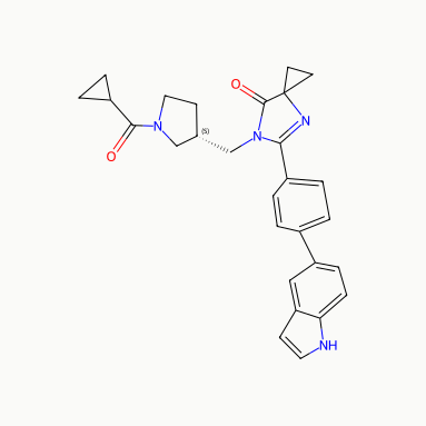 O=C(C1CC1)N1CC[C@H](CN2C(=O)C3(CC3)N=C2c2ccc(-c3ccc4[nH]ccc4c3)cc2)C1